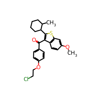 COc1ccc2c(C(=O)c3ccc(OCCCl)cc3)c(C3CCCCC3C)sc2c1